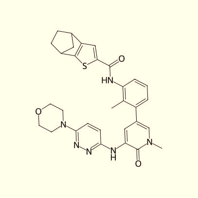 Cc1c(NC(=O)c2cc3c(s2)C2CCC3C2)cccc1-c1cc(Nc2ccc(N3CCOCC3)nn2)c(=O)n(C)c1